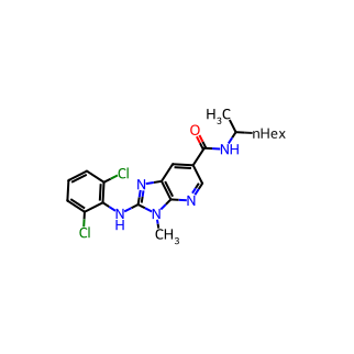 CCCCCCC(C)NC(=O)c1cnc2c(c1)nc(Nc1c(Cl)cccc1Cl)n2C